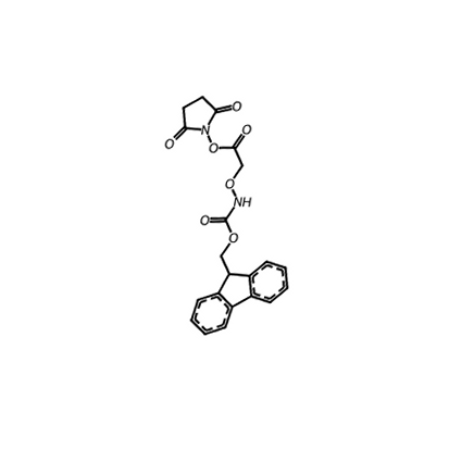 O=C(CONC(=O)OCC1c2ccccc2-c2ccccc21)ON1C(=O)CCC1=O